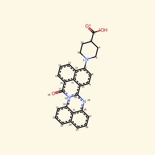 O=C(O)C1CCN(c2ccc3c4c2cccc4c(=O)n2c4cccc5cccc(nc32)c54)CC1